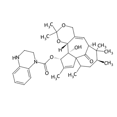 CC1=CC23C(=O)[C@@H](C=C4COC(C)(C)O[C@H]4[C@]2(O)[C@H]1OC(=O)N1CCNc2ccccc21)C(C)(C)[C@@H](C)CC3C